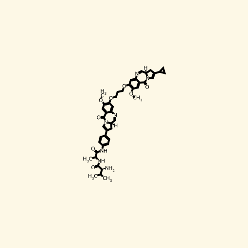 COc1cc2c(cc1OCCCOc1cc3c(cc1OC)C(=O)N1C=C(C4CC4)C[C@H]1C=N3)N=C[C@@H]1CC(c3ccc(NC(=O)C(C)NC(=O)[C@@H](N)C(C)C)cc3)=CN1C2=O